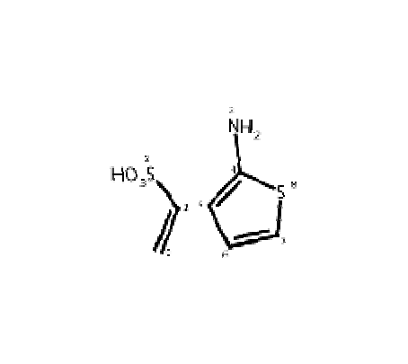 C=CS(=O)(=O)O.Nc1cccs1